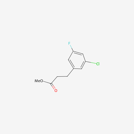 COC(=O)CCc1cc(F)cc(Cl)c1